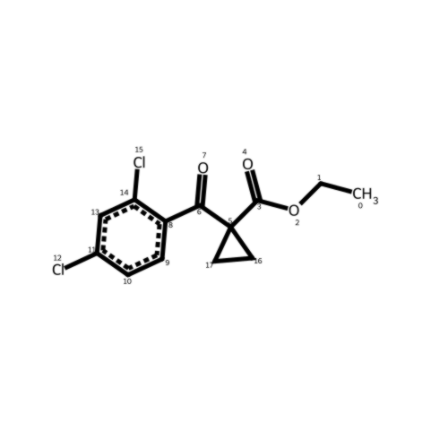 CCOC(=O)C1(C(=O)c2ccc(Cl)cc2Cl)CC1